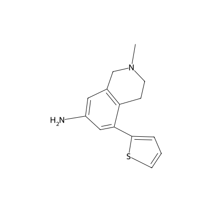 CN1CCc2c(cc(N)cc2-c2cccs2)C1